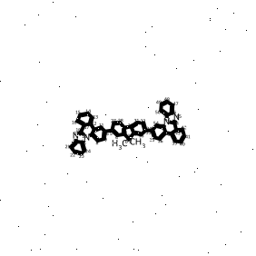 CC1(C)c2cc(-c3ccc4c(c3)c3ccccc3c3nc5ccccc5n43)ccc2-c2ccc(-c3ccc4c5ccccc5c5nc6ccccc6n5c4c3)cc21